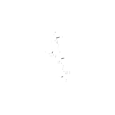 O=C(CCl)NCCNC(=O)[C@H](CCCNC(=O)CI)NC(=O)CI